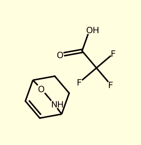 C1=CC2CCC1NO2.O=C(O)C(F)(F)F